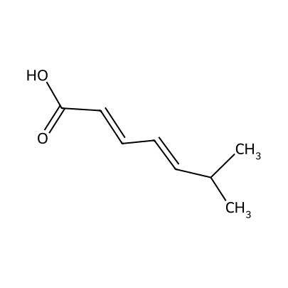 CC(C)/C=C/C=C/C(=O)O